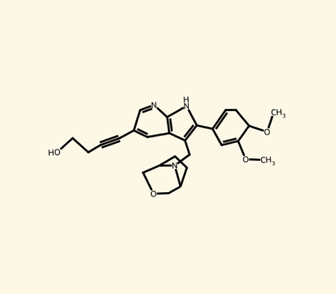 COC1=CC(c2[nH]c3ncc(C#CCCO)cc3c2CN2C3CCC2COC3)=CCC1OC